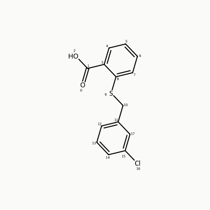 O=C(O)c1ccccc1SCc1cccc(Cl)c1